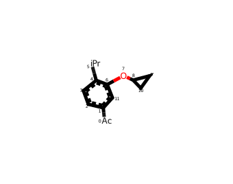 CC(=O)c1ccc(C(C)C)c(OC2CC2)c1